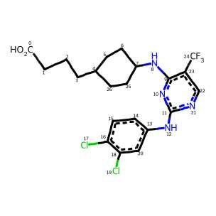 O=C(O)CCCC1CCC(Nc2nc(Nc3ccc(Cl)c(Cl)c3)ncc2C(F)(F)F)CC1